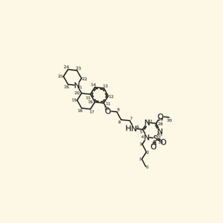 CCCCN1C(NCCCOc2cccc3c2CCCC3N2CCCCC2)=NC(OC)=NS1(=O)=O